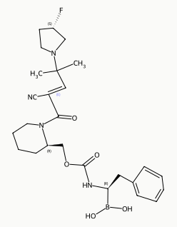 CC(C)(/C=C(\C#N)C(=O)N1CCCC[C@@H]1COC(=O)N[C@@H](Cc1ccccc1)B(O)O)N1CC[C@H](F)C1